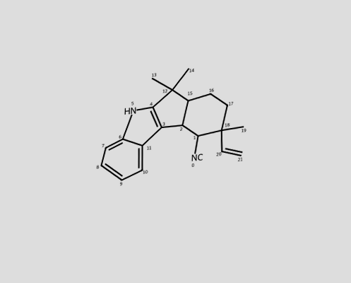 [C-]#[N+]C1C2c3c([nH]c4ccccc34)C(C)(C)C2CCC1(C)C=C